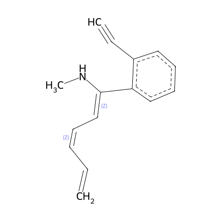 C#Cc1ccccc1/C(=C/C=C\C=C)NC